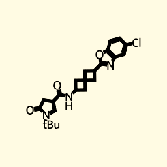 CC(C)(C)N1CC(C(=O)NC2CC3(C2)CC(c2nc4cc(Cl)ccc4o2)C3)CC1=O